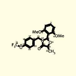 COc1cccc(OC)c1C1OC(C)C(=O)N1Cc1ccc(OC(F)(F)F)cc1